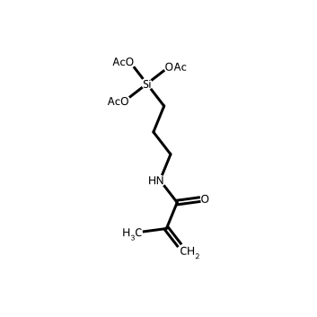 C=C(C)C(=O)NCCC[Si](OC(C)=O)(OC(C)=O)OC(C)=O